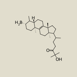 B[C@H]1CC[C@]2(C)C3=C(CC[C@H]2C1C)[C@]1(C)CCC(C(C)CCC(=O)C(C)(C)O)[C@@]1(C)CC3